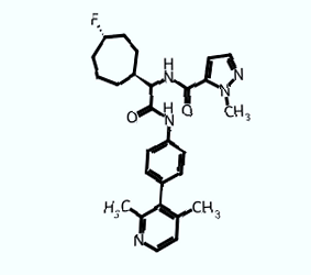 Cc1ccnc(C)c1-c1ccc(NC(=O)C(NC(=O)c2ccnn2C)[C@H]2CCC[C@H](F)CC2)cc1